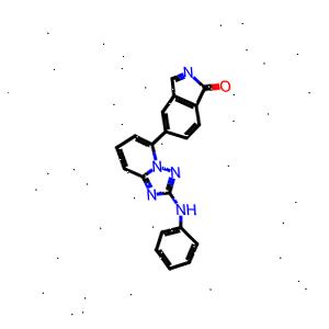 O=C1N=Cc2cc(-c3cccc4nc(Nc5ccccc5)nn34)ccc21